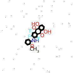 COc1ccccc1Nc1c(F)c(F)c2c(c1F)C(=O)c1c(O)ccc(O)c1C2=O